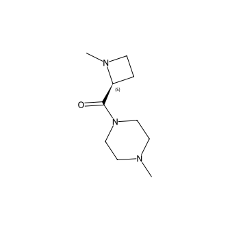 CN1CCN(C(=O)[C@@H]2CCN2C)CC1